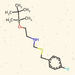 CC(C)(C)[Si](C)(C)OCCNCSCc1ccc(F)cc1